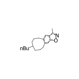 CCCCC1CCCc2cc3onc(C)c3cc2CCC1